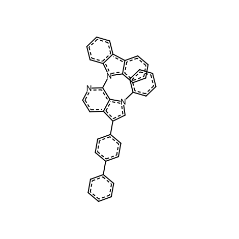 c1ccc(-c2ccc(-c3cn(-c4ccccc4)c4c(-n5c6ccccc6c6ccccc65)nccc34)cc2)cc1